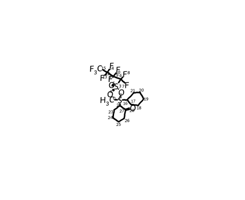 CS(OS(=O)(=O)C(F)(F)C(F)(F)C(F)(F)C(F)(F)F)(C1CCCCC1)C1CCCCC1=O